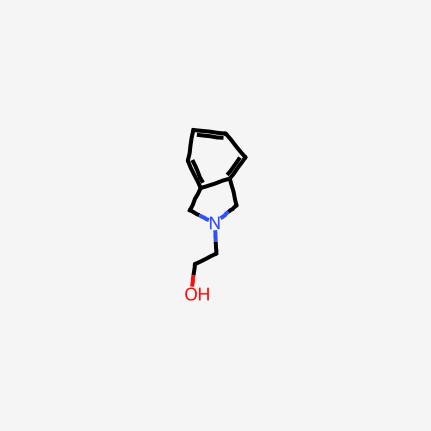 OCCN1Cc2ccccc2C1